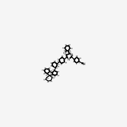 N#Cc1ccc(-c2nc(-c3ccc(-c4cccc(-c5cccc6c5-c5ccccc5C65CCCCC5)c4)cc3)c3oc4ccccc4c3n2)cc1